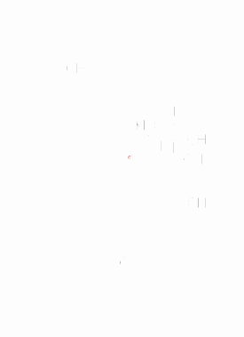 [CH2]=[Hf]([CH3])([CH3])([CH3])([CH2]CC)([CH]1C=Cc2c(-c3ccccc3C)cccc21)[CH]1C=Cc2c(-c3ccccc3C)cccc21